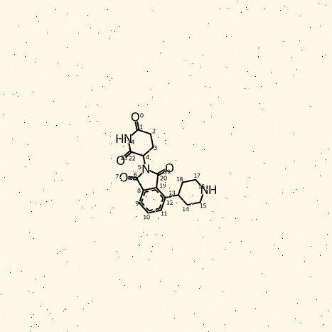 O=C1CCC(N2C(=O)c3cccc(C4CCNCC4)c3C2=O)C(=O)N1